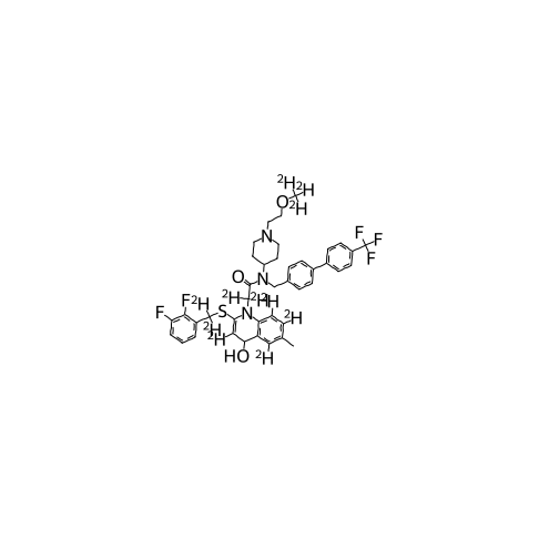 [2H]C1=C(SC([2H])([2H])c2cccc(F)c2F)N(C([2H])([2H])C(=O)N(Cc2ccc(-c3ccc(C(F)(F)F)cc3)cc2)C2CCN(CCOC([2H])([2H])[2H])CC2)c2c([2H])c([2H])c(C)c([2H])c2C1O